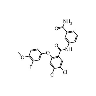 COc1ccc(Oc2cc(Cl)c(Cl)cc2C(=O)Nc2cccc(C(N)=O)c2)cc1F